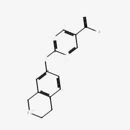 NC(=O)c1cnc(Nc2ccc3c(c2)CNCC3)nc1